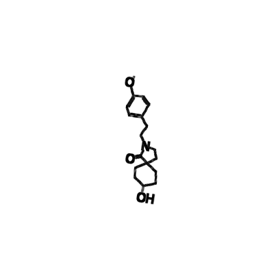 COc1ccc(CCN2CCC3(CCC(O)CC3)C2=O)cc1